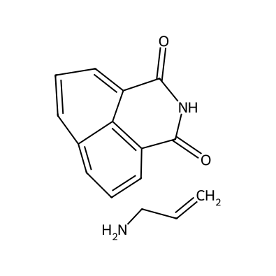 C=CCN.O=C1NC(=O)c2cccc3cccc1c23